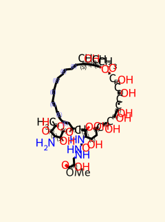 COC(=O)[C@H](O)CNNC(=O)N[C@H]1[C@@H]2C[C@@H](O[C@@H]3O[C@H](C)[C@@H](O)[C@H](N)[C@@H]3O)/C=C/C=C/C=C/C=C/C=C/C=C/C=C/[C@H](C)[C@@H](O)[C@@H](C)[C@H](C)OC(=O)C[C@H](O)C[C@H](O)CC[C@@H](O)[C@H](O)C[C@H](O)C[C@](O)(C[C@@H]1O)O2